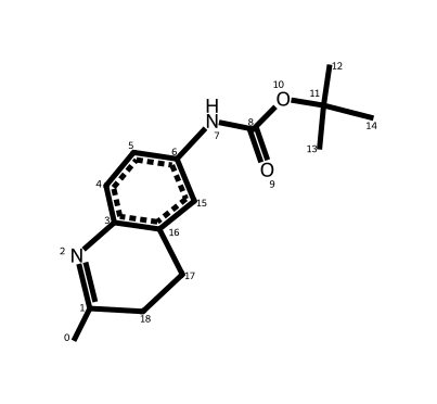 CC1=Nc2ccc(NC(=O)OC(C)(C)C)cc2CC1